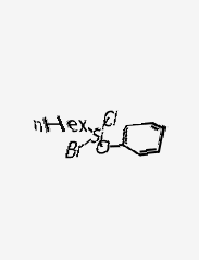 CCCCCC[Si](Cl)(Br)Oc1ccccc1